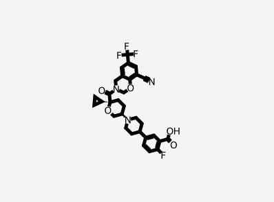 N#Cc1cc(C(F)(F)F)cc2c1OCN(C(=O)[C@@]1(C3CC3)CC[C@@H](N3CCC(c4ccc(F)c(C(=O)O)c4)CC3)CO1)C2